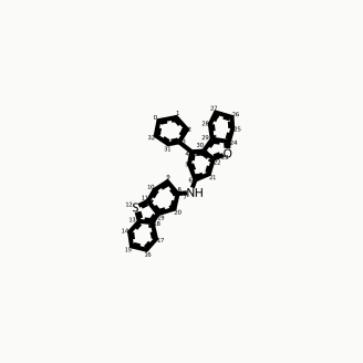 c1ccc(-c2cc(Nc3ccc4sc5ccccc5c4c3)cc3oc4ccccc4c23)cc1